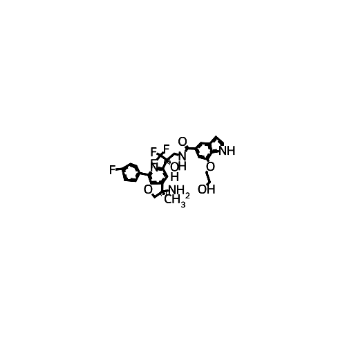 C[C@@]1(N)COc2c1cc([C@](O)(CNC(=O)c1cc(OCCO)c3[nH]ccc3c1)C(F)(F)F)nc2-c1ccc(F)cc1